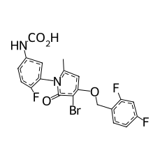 Cc1cc(OCc2ccc(F)cc2F)c(Br)c(=O)n1-c1cc(NC(=O)O)ccc1F